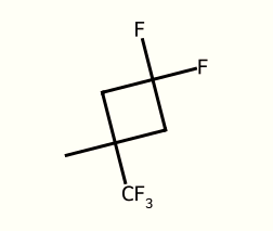 CC1(C(F)(F)F)CC(F)(F)C1